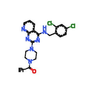 CC(C)C(=O)N1CCN(c2nc(NCc3ccc(Cl)cc3Cl)c3cccnc3n2)CC1